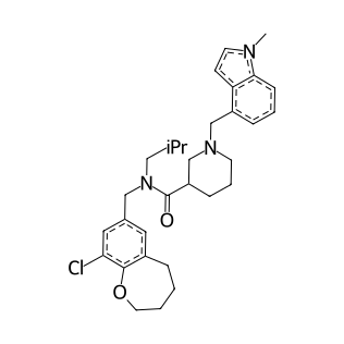 CC(C)CN(Cc1cc(Cl)c2c(c1)CCCCO2)C(=O)C1CCCN(Cc2cccc3c2ccn3C)C1